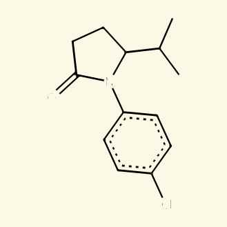 CC(C)C1CCC(=O)N1c1ccc(Cl)cc1